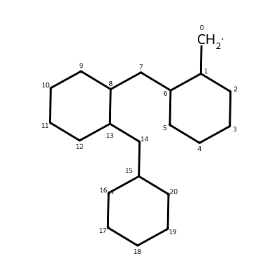 [CH2]C1CCCCC1CC1CCCCC1CC1[CH]CCCC1